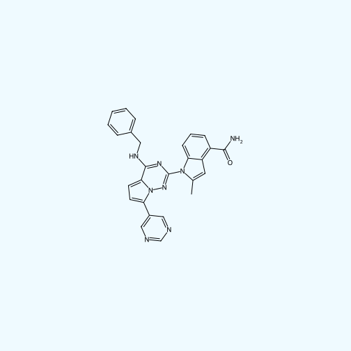 Cc1cc2c(C(N)=O)cccc2n1-c1nc(NCc2ccccc2)c2ccc(-c3cncnc3)n2n1